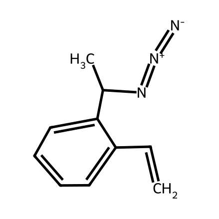 C=Cc1ccccc1C(C)N=[N+]=[N-]